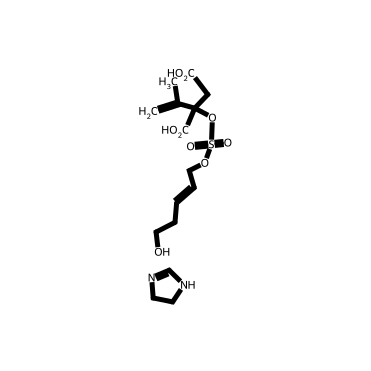 C1=NCCN1.C=C(C)C(CC(=O)O)(OS(=O)(=O)OCC=CCCO)C(=O)O